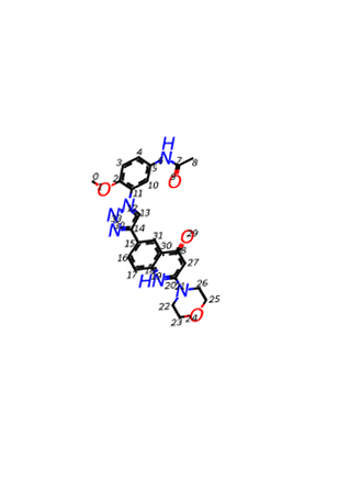 COc1ccc(NC(C)=O)cc1-n1cc(-c2ccc3[nH]c(N4CCOCC4)cc(=O)c3c2)nn1